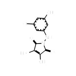 CC1=C(C)C(=O)N(Nc2cc(C)cc(Cl)c2)C1=O